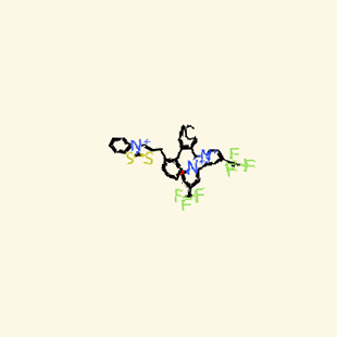 FC(F)(F)c1cc[n+]2c(c1)-c1cc(C(F)(F)F)cc[n+]1C2c1ccccc1-c1ccccc1Cc1c[n+]2c(s1)sc1ccccc12